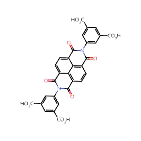 O=C(O)c1cc(C(=O)O)cc(N2C(=O)c3ccc4c5c(ccc(c35)C2=O)C(=O)N(c2cc(C(=O)O)cc(C(=O)O)c2)C4=O)c1